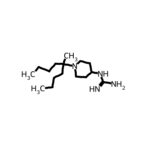 CCCCC(C)(CCCC)N1CCC(NC(=N)N)CC1